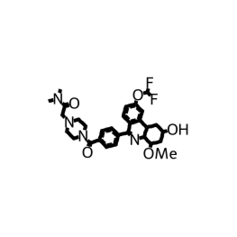 COC1CC(O)CC2c3cc(OC(F)F)ccc3C(c3ccc(C(=O)N4CCN(CC(=O)N(C)C)CC4)cc3)=NC12